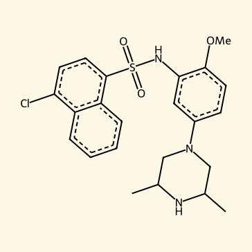 COc1ccc(N2CC(C)NC(C)C2)cc1NS(=O)(=O)c1ccc(Cl)c2ccccc12